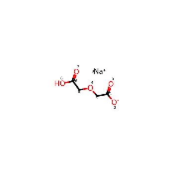 O=C([O-])COCC(=O)O.[Na+]